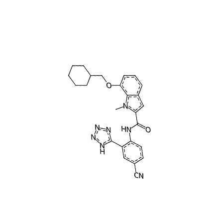 Cn1c(C(=O)Nc2ccc(C#N)cc2-c2nnn[nH]2)cc2cccc(OCC3CCCCC3)c21